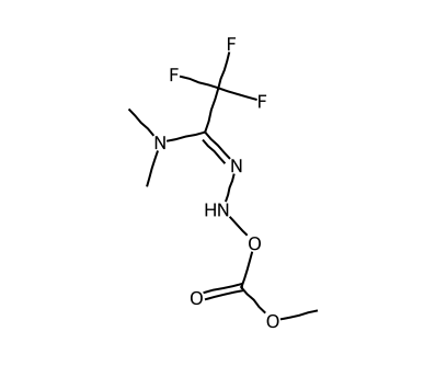 COC(=O)ONN=C(N(C)C)C(F)(F)F